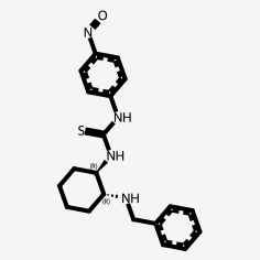 O=Nc1ccc(NC(=S)N[C@@H]2CCCC[C@H]2NCc2ccccc2)cc1